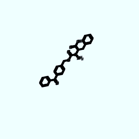 NN(C(=O)OCc1ccc(C(=O)c2ccccc2)cc1)C(Cc1ccccc1)C(=O)O